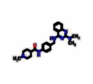 CN1CCC(C(=O)Nc2ccc(CNc3nc(N(C)C)nc4ccccc34)cc2)CC1